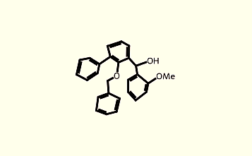 COc1ccccc1C(O)c1cccc(-c2ccccc2)c1OCc1ccccc1